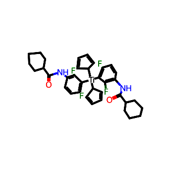 O=C(Nc1ccc(F)[c]([Ti]([c]2c(F)ccc(NC(=O)C3CCCCC3)c2F)([CH]2C=CC=C2)[CH]2C=CC=C2)c1F)C1CCCCC1